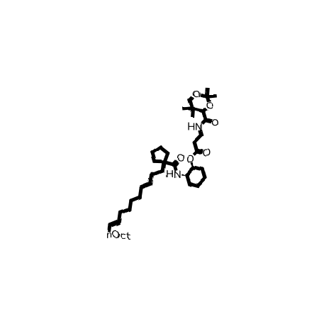 CCCCCCCCC=CCCCCCCCCC1(C(=O)N[C@H]2CCCC[C@@H]2OC(=O)CCNC(=O)C2OC(C)(C)OCC2(C)C)CCCC1